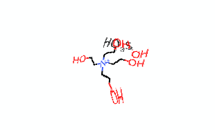 O=S(=O)(O)O.OCC[N+](CCO)(CCO)CCO